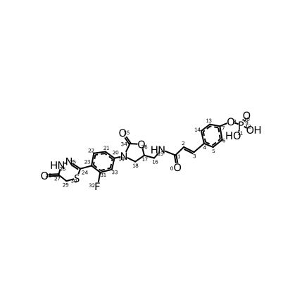 O=C(C=Cc1ccc(OP(=O)(O)O)cc1)NCC1CN(c2ccc(C3=NNC(=O)CS3)c(F)c2)C(=O)O1